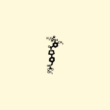 COC(=O)NCc1ccc(C2CCN(C(=O)c3ccc(C)c(NS(C)(=O)=O)c3)CC2)cc1